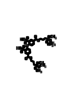 CO[Si](CCCOC(=O)c1ccc(Oc2ccc(C(=O)OCCC[Si](OC)(OC)OC)cc2S(=O)(=O)O)c(S(=O)(=O)O)c1)(OC)OC